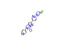 O=C1N(c2ccncc2)Cc2cc(-c3ccc(N4CC[C@H](F)C4)nc3)nn21